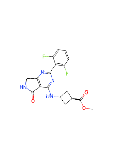 COC(=O)[C@H]1C[C@H](Nc2nc(-c3c(F)cccc3F)nc3c2C(=O)NC3)C1